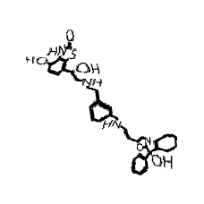 O=c1[nH]c2c(O)ccc(C(O)CNCCc3cccc(CNCCc4cnc([C@](O)(c5ccccc5)C5CCCCC5)o4)c3)c2s1